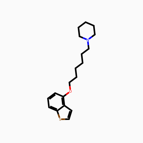 c1cc(OCCCCCCN2CCCCC2)c2ccsc2c1